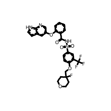 O=C(NS(=O)(=O)c1ccc(OCC2(F)CCOCC2)c(C(F)(F)F)c1)c1ccccc1Oc1cnc2[nH]ccc2c1